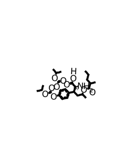 CCCC(C)C(=O)OC(C)CC(c1ccc(OC(=O)OC(C)C)c(OC(=O)OC(C)C)c1)[C@H](N)C(=O)O